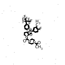 CC(=O)N1CCN(C(=O)N2CC[C@@](c3ccc(C(F)(C(F)(F)F)C(F)(F)F)cc3)(S(=O)(=O)c3ccc(F)c(C)c3)C2)CC1